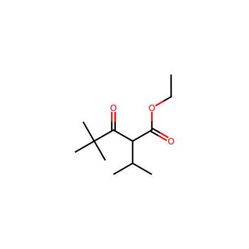 CCOC(=O)C(C(=O)C(C)(C)C)C(C)C